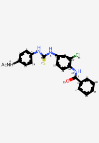 CC(=O)Nc1ccc(NC(=S)Nc2ccc(NC(=O)c3ccccc3)c(Cl)c2)cc1